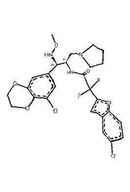 CON[C@H](c1cc(Cl)c2c(c1)OCCO2)[C@@H](CN1CCCC1)NC(=O)C(F)(F)c1cc2cc(Cl)ccc2o1